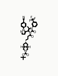 Cc1c(-c2ccnn2-c2ccc(C#N)cc2)n(C(=O)CCC[C@@H]2C[C@@H]3CN(C(=O)OC(C)(C)C)C[C@@H]3C2)c(=O)n1-c1cccc(C(F)(F)F)c1